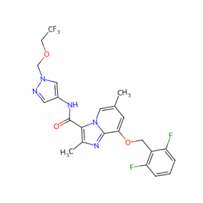 Cc1cc(OCc2c(F)cccc2F)c2nc(C)c(C(=O)Nc3cnn(COCC(F)(F)F)c3)n2c1